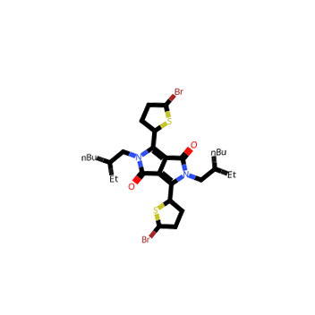 CCCCC(CC)CN1C(=O)C2=C(C3CCC(Br)S3)N(CC(CC)CCCC)C(=O)C2=C1C1CCC(Br)S1